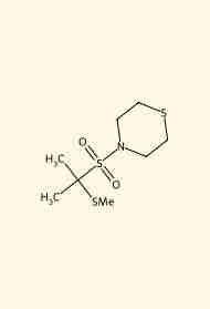 CSC(C)(C)S(=O)(=O)N1CCSCC1